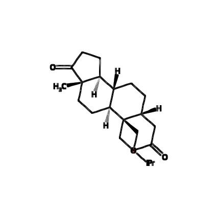 CC(C)OC[C@]12CCC(=O)C[C@H]1CC[C@@H]1[C@@H]2CC[C@]2(C)C(=O)CC[C@@H]12